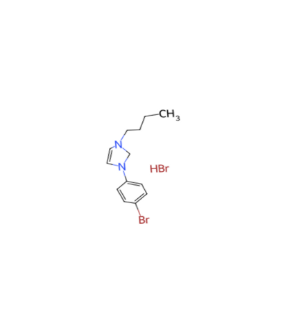 Br.CCCCN1C=CN(c2ccc(Br)cc2)C1